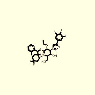 CCO[C@@H]1[C@@H](n2cc(-c3cc(F)c(F)c(F)c3)nn2)[C@@H](O)[C@@H](CO)O[C@H]1SC(c1ncccc1C)C1(O)CCC(F)(F)CC1